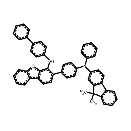 CC1(C)c2ccccc2-c2ccc(N(c3ccccc3)c3ccc(-c4ccc5c(oc6ccccc65)c4Nc4ccc(-c5ccccc5)cc4)cc3)cc21